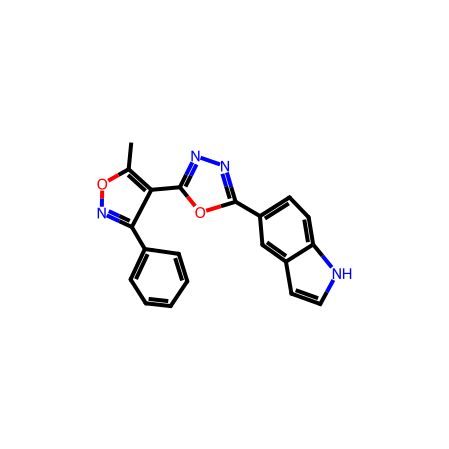 Cc1onc(-c2ccccc2)c1-c1nnc(-c2ccc3[nH]ccc3c2)o1